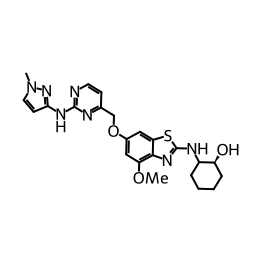 COc1cc(OCc2ccnc(Nc3ccn(C)n3)n2)cc2sc(NC3CCCC[C@@H]3O)nc12